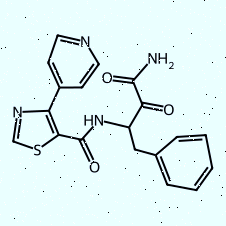 NC(=O)C(=O)C(Cc1ccccc1)NC(=O)c1scnc1-c1ccncc1